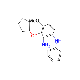 COc1ccc(Nc2ccccc2)c(N)c1OC1CCCC1